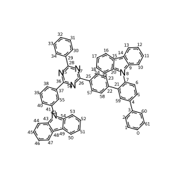 c1ccc(-c2ccc(-n3c4ccccc4c4ccccc43)c(-c3ccc(-c4nc(-c5ccccc5)nc(-c5cccc(-n6c7ccccc7c7ccccc76)c5)n4)cc3)c2)cc1